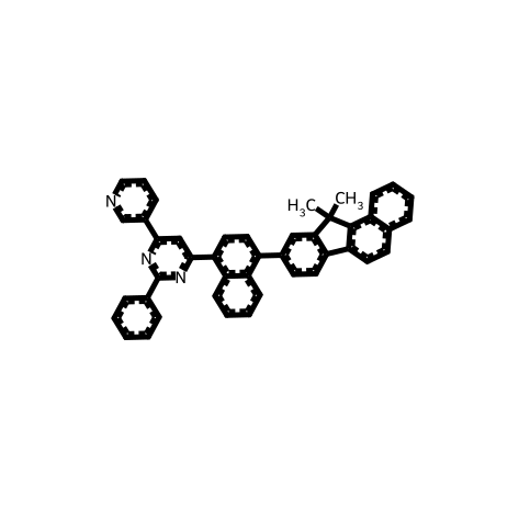 CC1(C)c2cc(-c3ccc(-c4cc(-c5cccnc5)nc(-c5ccccc5)n4)c4ccccc34)ccc2-c2ccc3ccccc3c21